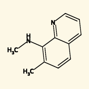 CNc1c(C)ccc2cccnc12